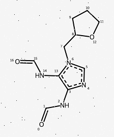 O=CNc1ncn(CC2CCCO2)c1NC=O